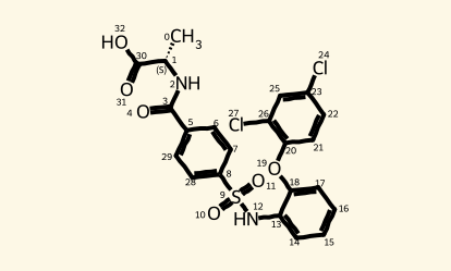 C[C@H](NC(=O)c1ccc(S(=O)(=O)Nc2ccccc2Oc2ccc(Cl)cc2Cl)cc1)C(=O)O